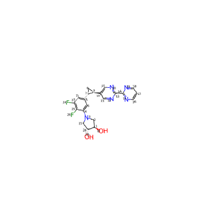 O[C@@H]1CN(c2cc([C@@H]3C[C@H]3c3cnc(-c4ncccn4)nc3)cc(F)c2F)C[C@H]1O